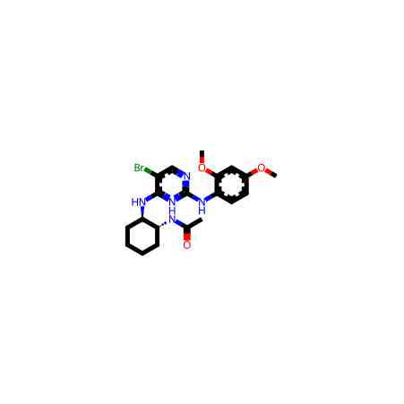 COc1ccc(Nc2ncc(Br)c(N[C@@H]3CCCC[C@H]3NC(C)=O)n2)c(OC)c1